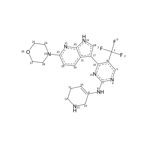 FC(F)(F)c1cnc(NC2=CCCNC2)nc1-c1c[nH]c2nc(N3CCOCC3)ccc12